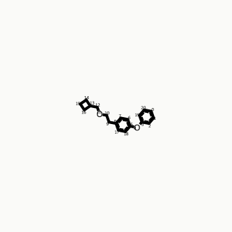 c1ccc(Oc2ccc(CCOCC3CCC3)cc2)cc1